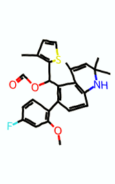 COc1cc(F)ccc1-c1ccc2c(c1C(OC=O)c1sccc1C)C(C)=CC(C)(C)N2